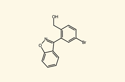 OCc1ccc(Br)cc1-c1noc2ccccc12